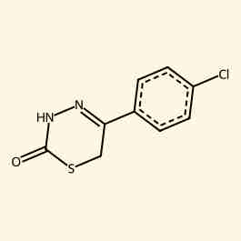 O=C1NN=C(c2ccc(Cl)cc2)CS1